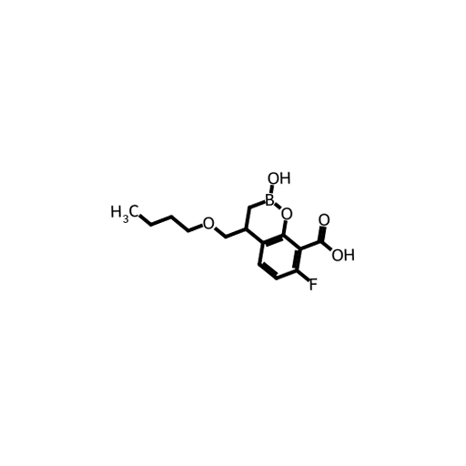 CCCCOCC1CB(O)Oc2c1ccc(F)c2C(=O)O